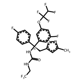 Cc1cc(C[C@@](NC(=O)NCC(F)(F)F)(c2ccc(F)cc2)c2cc(F)cc(OC(F)(F)C(F)F)c2)on1